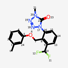 Cc1cccc(OCc2c(C(F)F)cccc2-n2nnn(C)c2=O)c1